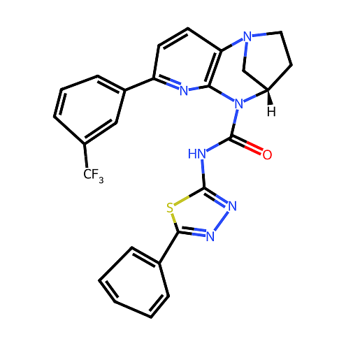 O=C(Nc1nnc(-c2ccccc2)s1)N1c2nc(-c3cccc(C(F)(F)F)c3)ccc2N2CC[C@H]1C2